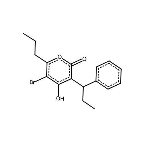 CCCc1oc(=O)c(C(CC)c2ccccc2)c(O)c1Br